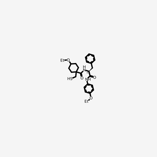 CCOc1ccc(NC(=O)[C@H](Cc2ccccc2)NC(=O)C2(CS)CCC(OCC)CC2)cc1